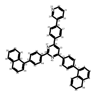 C1=Cc2c(cccc2-c2ccc(-c3cc(-c4ccc(-c5cccnc5)cc4)nc(-c4ccc(-c5cccc6ccccc56)cc4)n3)cc2)CC1